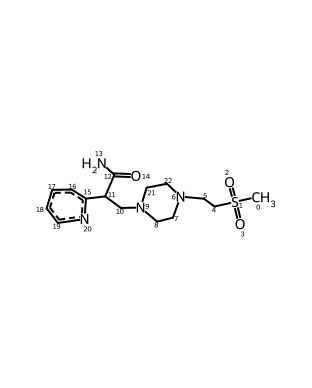 CS(=O)(=O)CCN1CCN(CC(C(N)=O)c2ccccn2)CC1